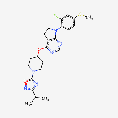 CSc1ccc(N2CCc3c(OC4CCN(c5nc(C(C)C)no5)CC4)ncnc32)c(F)c1